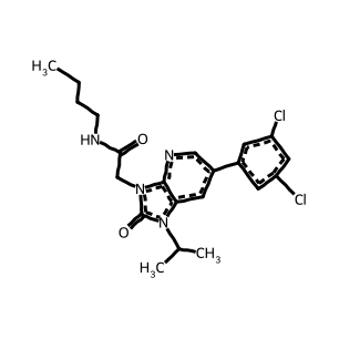 CCCCNC(=O)Cn1c(=O)n(C(C)C)c2cc(-c3cc(Cl)cc(Cl)c3)cnc21